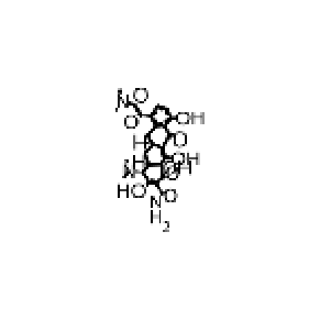 CN(C)C(=O)C(=O)c1ccc(O)c2c1C[C@H]1C[C@H]3[C@H](N(C)C)C(O)=C(C(N)=O)C(=O)[C@@]3(O)C(O)=C1C2=O